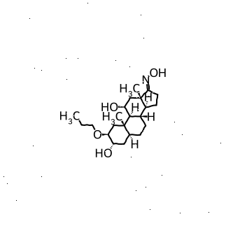 CCCO[C@H]1C[C@@]2(C)[C@@H](CC[C@@H]3[C@@H]2[C@@H](O)C[C@]2(C)/C(=N/O)CC[C@@H]32)C[C@@H]1O